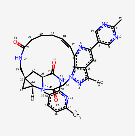 CC(=O)c1nn2c3c(nc(-c4cnc(C)nc4)cc13)C=CCCCC(=O)NC[C@@]13C[C@@H](C(=O)Nc4nc(C(F)(F)F)ccc4C)N(C(=O)C2)[C@@H]1C3